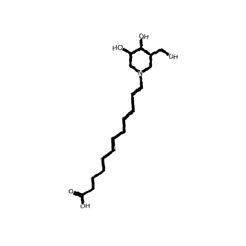 O=C(O)CCCCCCCCCCCN1CC(O)C(O)C(CO)C1